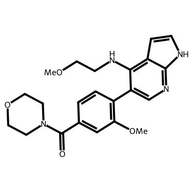 COCCNc1c(-c2ccc(C(=O)N3CCOCC3)cc2OC)cnc2[nH]ccc12